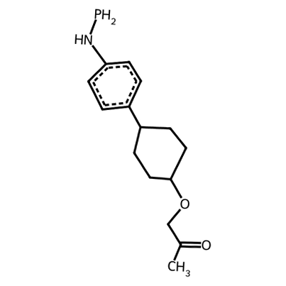 CC(=O)COC1CCC(c2ccc(NP)cc2)CC1